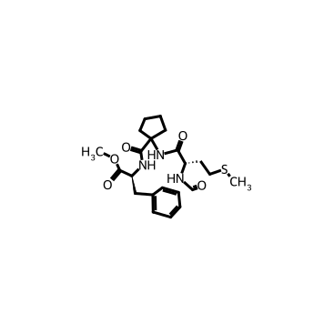 COC(=O)[C@H](Cc1ccccc1)NC(=O)C1(NC(=O)[C@H](CCSC)NC=O)CCCC1